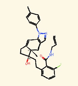 C=CCNC(=O)c1c(F)cccc1CC[C@]1(O)CCC2=Cc3c(cnn3-c3ccc(C)cc3)C[C@@]21C